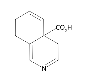 O=C(O)C12C=CC=CC1=CN=CC2